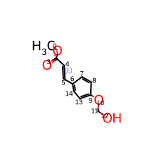 COC(=O)/C=C/c1ccc(OCO)cc1